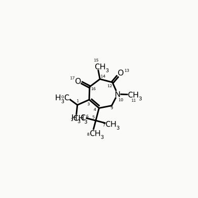 CC(C)C1=C(C(C)(C)C)CN(C)C(=O)C(C)C1=O